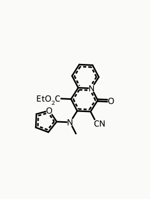 CCOC(=O)c1c(N(C)c2ccco2)c(C#N)c(=O)n2ccccc12